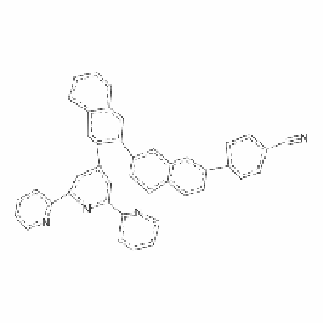 N#Cc1ccc(-c2ccc3ccc(-c4cc5ccccc5cc4-c4cc(-c5ccccn5)nc(-c5ccccn5)c4)cc3c2)cc1